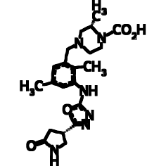 Cc1cc(CN2CCN(C(=O)O)[C@@H](C)C2)c(C)c(Nc2nnc([C@@H]3CNC(=O)C3)o2)c1